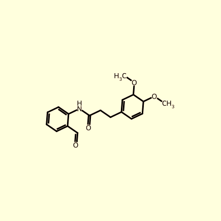 COC1C=CC(CCC(=O)Nc2ccccc2C=O)=CC1OC